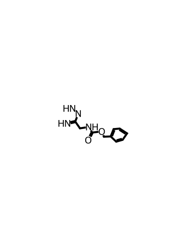 N=NC(=N)CNC(=O)OCc1ccccc1